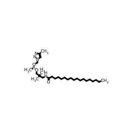 CCCCCCCCCCCCCCCCCC(=O)NCC(C)(C)COP(C)OCn1cc(C)nn1